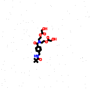 CC(C)(C)C(=O)NCc1ccc(C(=O)N(CCOC(=O)CO)CCOC(=O)CO)cc1